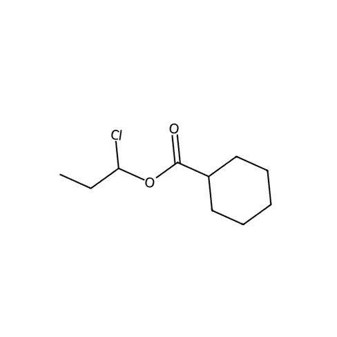 CCC(Cl)OC(=O)C1CCCCC1